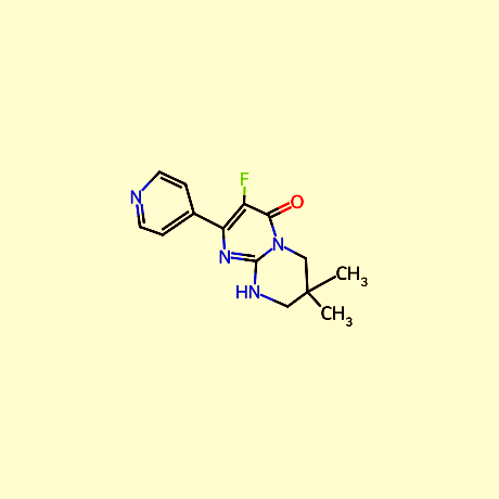 CC1(C)CNc2nc(-c3ccncc3)c(F)c(=O)n2C1